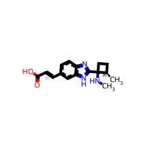 CNC1(c2nc3ccc(/C=C/C(=O)O)cc3[nH]2)CC[C@H]1C